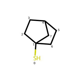 SC12CCC(CC1)C2